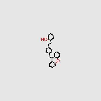 Oc1ccccc1CCc1ccc(CC2c3ccccc3Oc3ccccc32)cc1